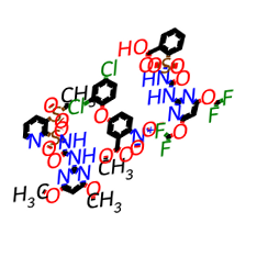 CCS(=O)(=O)c1cccnc1S(=O)(=O)NC(=O)Nc1nc(OC)cc(OC)n1.COC(=O)c1cc(Oc2ccc(Cl)cc2Cl)ccc1[N+](=O)[O-].O=C(Nc1nc(OC(F)F)cc(OC(F)F)n1)NS(=O)(=O)c1ccccc1C(=O)O